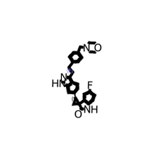 O=C1Nc2ccc(F)cc2C12C[C@H]2c1ccc2c(/C=C/c3ccc(CN4CCOCC4)cc3)n[nH]c2c1